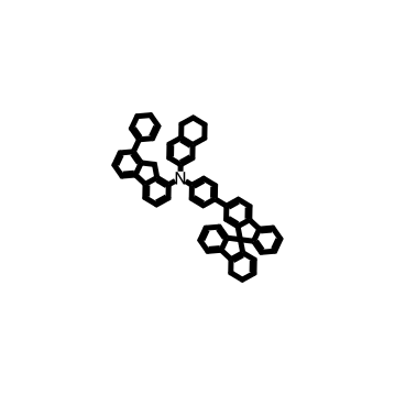 C1=CC(c2cccc3c2Cc2c-3cccc2N(c2ccc(-c3ccc4c(c3)C3(C5=C(CCC=C5)c5ccccc53)c3ccccc3-4)cc2)c2ccc3c(c2)CCCC3)=CCC1